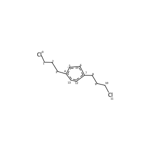 ClCCCc1[c]cc(CCCCl)cc1